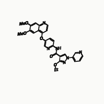 CCOc1nn(-c2cccnc2)cc1C(=O)Nc1ccc(Oc2ccnc3cc(OC)c(OC)cc23)cn1